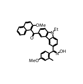 CCn1c2ccc(C(=O)c3c(OC)ccc4ccccc34)cc2c2cc(/C(=N\O)c3ccc(OC)cc3C)ccc21